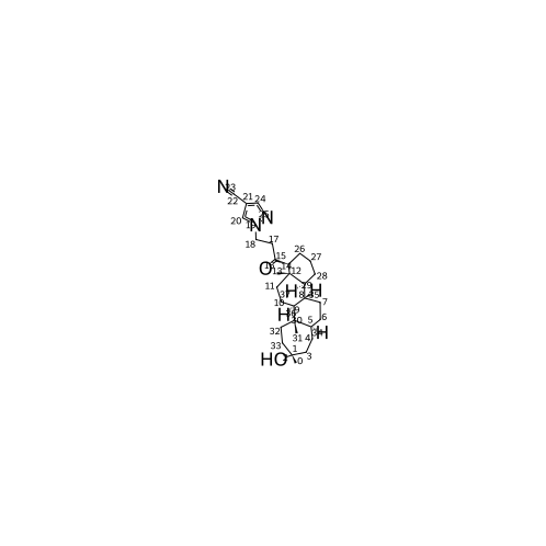 C[C@]1(O)CC[C@@H]2CC[C@@H]3[C@H](CC[C@]4(C)[C@@H](C(=O)CCn5cc(C#N)cn5)CCC[C@@H]34)[C@@]2(C)CC1